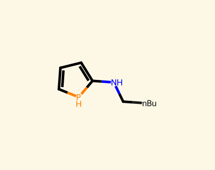 CCCCCNc1ccc[pH]1